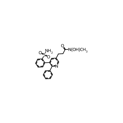 CN(O)C(=O)CCc1cnc(-c2ccccc2)c(-c2ccccc2S(N)(=O)=O)c1